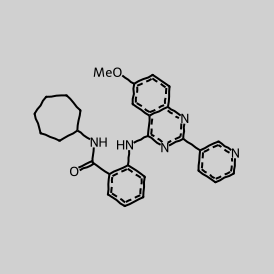 COc1ccc2nc(-c3cccnc3)nc(Nc3ccccc3C(=O)NC3CCCCCC3)c2c1